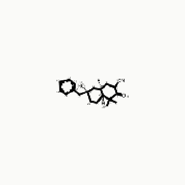 CC1(C)C(=O)C(C#N)C[C@]2(C)C[C@](O)(Cc3ccccc3)CC[C@@H]12